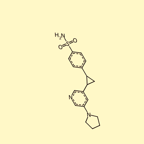 NS(=O)(=O)c1ccc(C2CC2c2cncc(N3CCCC3)c2)cc1